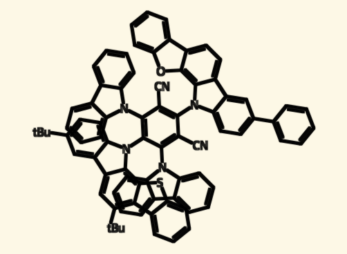 CC(C)(C)c1ccc2c(c1)c1cc(C(C)(C)C)c3c4ccccc4sc3c1n2-c1c(-n2c3ccccc3c3ccccc32)c(C#N)c(-n2c3ccc(-c4ccccc4)cc3c3ccc4c5ccccc5oc4c32)c(C#N)c1-n1c2ccccc2c2ccccc21